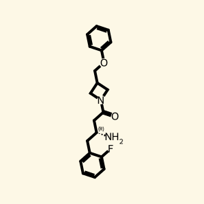 N[C@@H](CC(=O)N1CC(COc2ccccc2)C1)Cc1ccccc1F